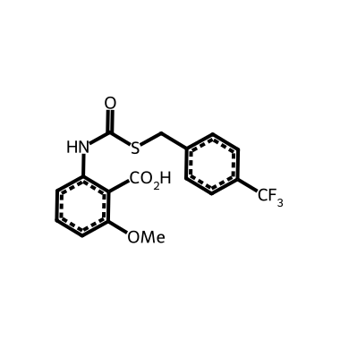 COc1cccc(NC(=O)SCc2ccc(C(F)(F)F)cc2)c1C(=O)O